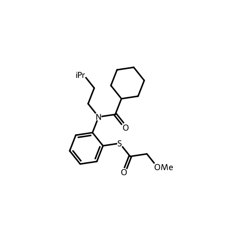 COCC(=O)Sc1ccccc1N(CCC(C)C)C(=O)C1CCCCC1